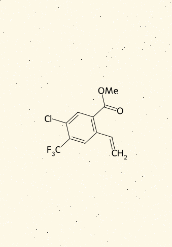 C=Cc1cc(C(F)(F)F)c(Cl)cc1C(=O)OC